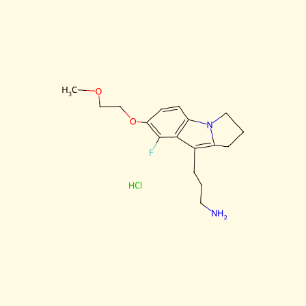 COCCOc1ccc2c(c1F)c(CCCN)c1n2CCC1.Cl